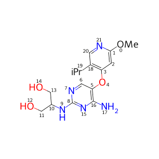 COc1cc(Oc2cnc(NC(CO)CO)nc2N)c(C(C)C)cn1